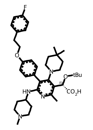 Cc1nc(NC2CCN(C)CC2)c(-c2ccc(OCCc3ccc(F)cc3)cc2)c(N2CCC(C)(C)CC2)c1[C@H](OC(C)(C)C)C(=O)O